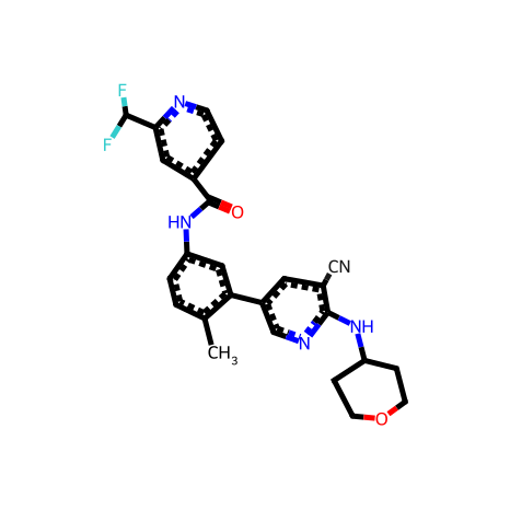 Cc1ccc(NC(=O)c2ccnc(C(F)F)c2)cc1-c1cnc(NC2CCOCC2)c(C#N)c1